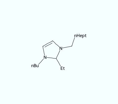 CCCCCCCCN1C=CN(CCCC)C1CC